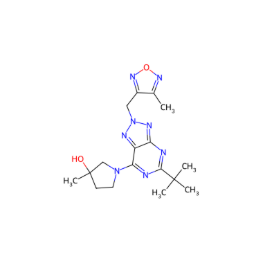 Cc1nonc1Cn1nc2nc(C(C)(C)C)nc(N3CCC(C)(O)C3)c2n1